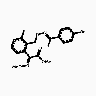 CO/N=C(/C(=O)OC)c1cccc(C)c1CO/N=C(\C)c1ccc(Br)cc1